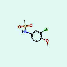 COc1ccc(NS(C)(=O)=O)cc1Br